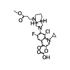 CCOC(=O)CCN1CCC[C@H]2CN(c3c(F)cc4c(=O)c(OC(=O)O)cn(C5CC5)c4c3Cl)C[C@H]21